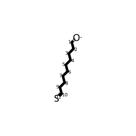 [O]CCCCCCCCCC=S